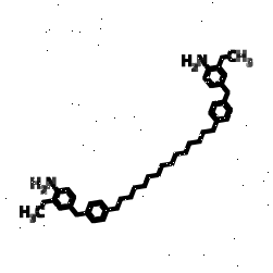 CCc1cc(Cc2ccc(CCCCCCCCCCCCCCCc3ccc(Cc4ccc(N)c(CC)c4)cc3)cc2)ccc1N